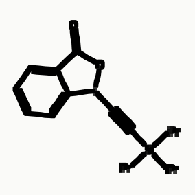 CC(C)[Si](C#CI1OC(=O)c2ccccc21)(C(C)C)C(C)C